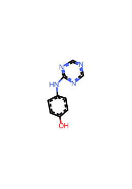 Oc1ccc(Nc2ncncn2)cc1